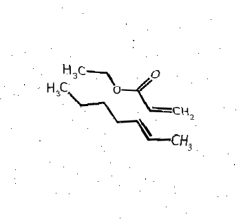 C=CC(=O)OCC.CC=CCCCC